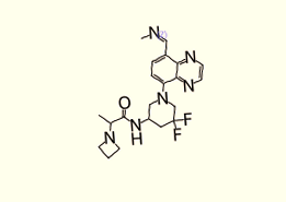 C/N=C\c1ccc(N2CC(NC(=O)C(C)N3CCC3)CC(F)(F)C2)c2nccnc12